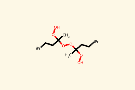 CC(C)CCC(C)(OO)OOC(C)(CCC(C)C)OO